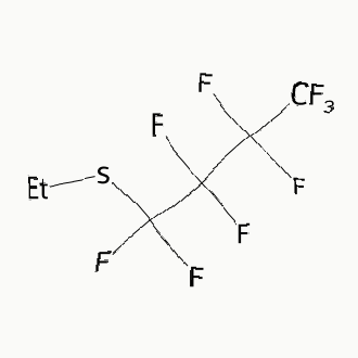 [CH2]CSC(F)(F)C(F)(F)C(F)(F)C(F)(F)F